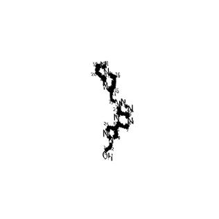 OCCn1cc(-c2cnc3nnn(Cc4ccn5nccc5n4)c3n2)cn1